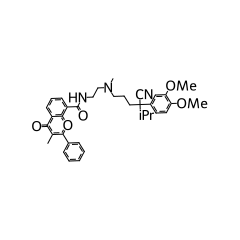 COc1ccc(C(C#N)(CCCN(C)CCNC(=O)c2cccc3c(=O)c(C)c(-c4ccccc4)oc23)C(C)C)cc1OC